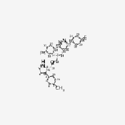 Cc1ccc([C@H]2CCN[C@@H]2COCCCc2cc(-c3ccc(F)cc3)nnc2-c2ccc(F)cc2)cc1